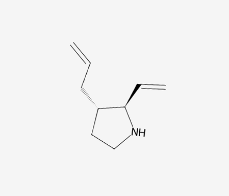 C=CC[C@H]1CCN[C@@H]1C=C